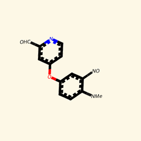 CNc1ccc(Oc2ccnc(C=O)c2)cc1N=O